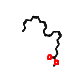 CC/C=C\C/C=C\C/C=C\C/C=C\C/C=C\CCCCC(=O)OC